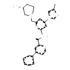 Cc1cn(-c2cc(CN3CCC[C@H](N)C3)nc(NC(=O)c3cc(-c4ccccc4)ccn3)c2)cn1